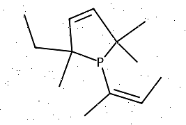 C/C=C(/C)P1C(C)(C)C=CC1(C)CC